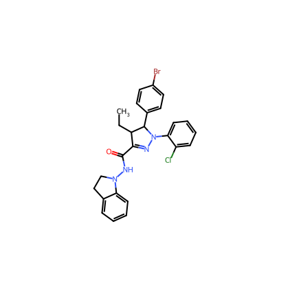 CCC1C(C(=O)NN2CCc3ccccc32)=NN(c2ccccc2Cl)C1c1ccc(Br)cc1